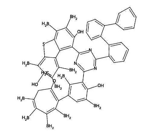 BC1=C(B)C(B)=C(B)C(c2cc(B)c(O)c(-c3nc(-c4ccccc4-c4ccccc4-c4ccccc4)nc(-c4c(O)c(B)c(B)c5sc6c(B)c(O)c(B)c(B)c6c45)n3)c2B)=C(OC)C1